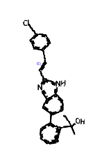 CC(C)(O)c1ccccc1-c1ccc2[nH]c(/C=C/c3ccc(Cl)cc3)nc2c1